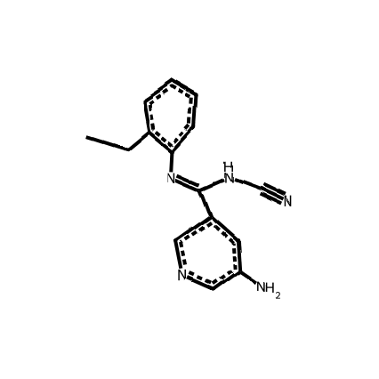 CCc1ccccc1N=C(NC#N)c1cncc(N)c1